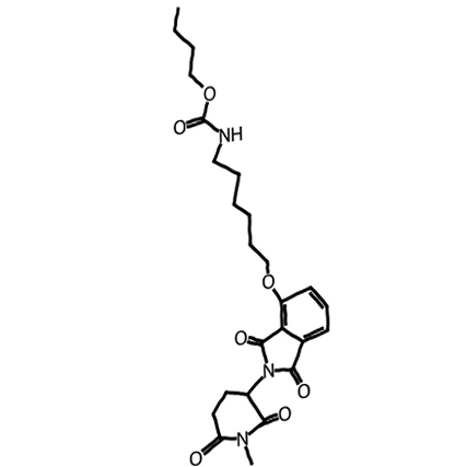 CCCCOC(=O)NCCCCCCOc1cccc2c1C(=O)N(C1CCC(=O)N(C)C1=O)C2=O